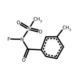 Cc1cccc(C(=O)N(F)S(C)(=O)=O)c1